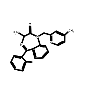 Cc1ccnc(CN2C(=O)C(N)N=C(c3ccccc3F)c3ccccc32)c1